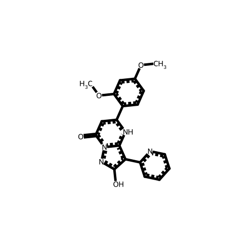 COc1ccc(-c2cc(=O)n3nc(O)c(-c4ccccn4)c3[nH]2)c(OC)c1